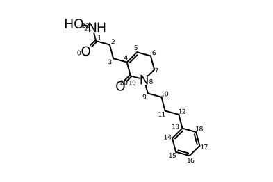 O=C(CCC1=CCCN(CCCCc2ccccc2)C1=O)NO